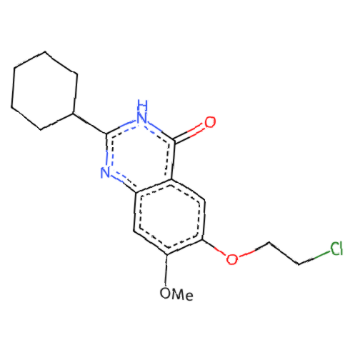 COc1cc2nc(C3CCCCC3)[nH]c(=O)c2cc1OCCCl